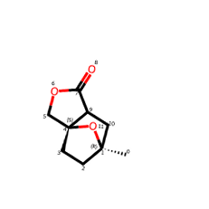 C[C@@]12CC[C@]3(COC(=O)C3C1)O2